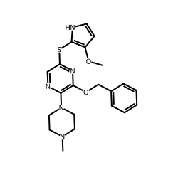 COc1cc[nH]c1Sc1cnc(N2CCN(C)CC2)c(OCc2ccccc2)n1